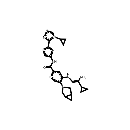 N/C(=C\Nc1cc(C(=O)Nc2csc(-c3nncn3C3CC3)n2)ncc1N1CC2CC2C1)C1CC1